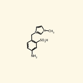 Cn1cc[n+](Cc2ccc(N)cc2S(=O)(=O)O)c1